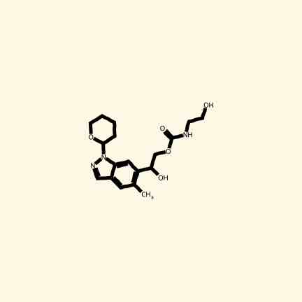 Cc1cc2cnn(C3CCCCO3)c2cc1C(O)COC(=O)NCCO